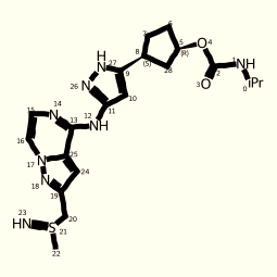 CC(C)NC(=O)O[C@@H]1CC[C@H](c2cc(Nc3nccn4nc(CS(C)=N)cc34)n[nH]2)C1